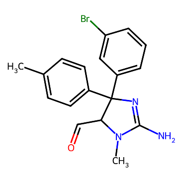 Cc1ccc(C2(c3cccc(Br)c3)N=C(N)N(C)C2C=O)cc1